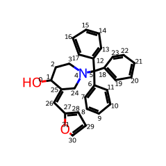 OC1CCN(C(c2ccccc2)(c2ccccc2)c2ccccc2)C/C1=C\c1ccco1